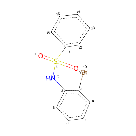 O=S(=O)(Nc1c[c]ccc1Br)c1ccccc1